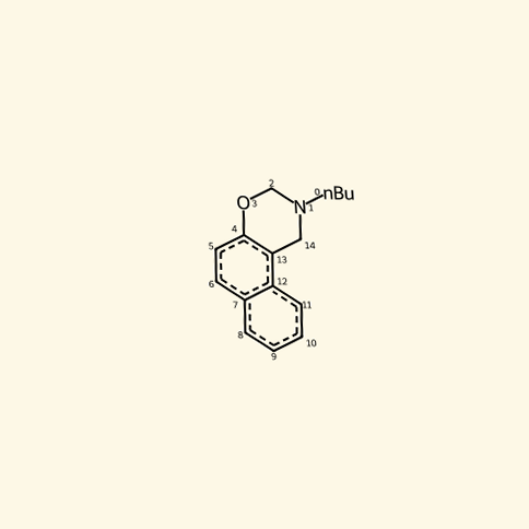 CCCCN1COc2ccc3ccccc3c2C1